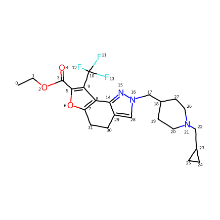 CCOC(=O)c1oc2c(c1C(F)(F)F)-c1nn(CC3CCN(CC4CC4)CC3)cc1CC2